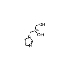 OC[C@@H](O)Cn1ccnc1